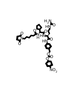 NC(=O)NCCC[C@H](NC(=O)[C@@H](NC(=O)CCCCCN1C(=O)C=CC1=O)C1CCCC1)C(=O)Nc1ccc(COC(=O)Oc2ccc([N+](=O)[O-])cc2)cc1